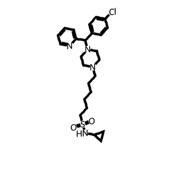 O=S(=O)(CCCCCCN1CCN(C(c2ccc(Cl)cc2)c2ccccn2)CC1)NC1CC1